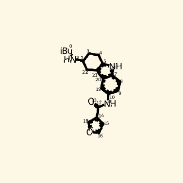 CCC(C)NC1CCc2[nH]c3ccc(NC(=O)c4ccoc4)cc3c2C1